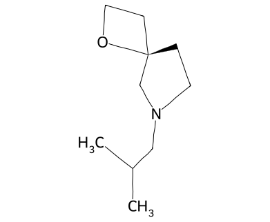 CC(C)CN1CC[C@@]2(CCO2)C1